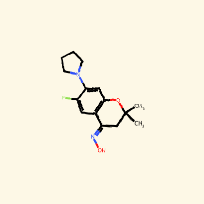 CC1(C)CC(=NO)c2cc(F)c(N3CCCC3)cc2O1